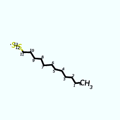 CCCCCCCCCCCCS[S]